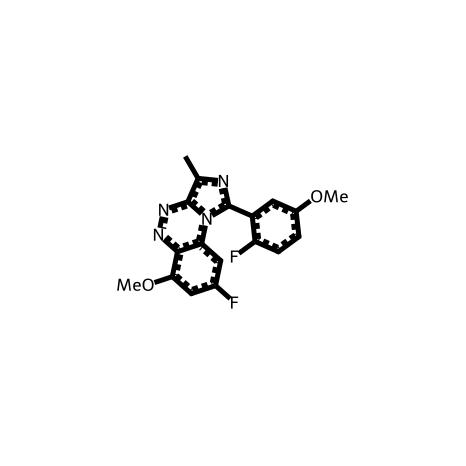 COc1ccc(F)c(-c2nc(C)c3nnc4c(OC)cc(F)cc4n23)c1